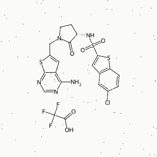 Nc1ncnc2sc(CN3CC[C@H](NS(=O)(=O)c4cc5cc(Cl)ccc5s4)C3=O)cc12.O=C(O)C(F)(F)F